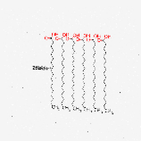 CCCCCCCCCCCCCCCCCC(=O)O.CCCCCCCCCCCCCCCCCC(=O)O.CCCCCCCCCCCCCCCCCC(=O)O.CCCCCCCCCCCCCCCCCC(=O)O.CCCCCCCCCCCCCCCCCC(=O)O.CCCCCCCCCCCCCCCCCC(=O)O.[Zn+2].[Zn+2].[Zn+2].[Zn+2]